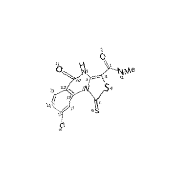 CNC(=O)c1sc(=S)n2c1[nH]c(=O)c1ccc(Cl)cc12